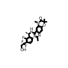 Cc1nc(N[C@H](C)c2cccc(C(F)(F)CO)c2F)c2cc3c(cc2n1)OC(C)(C)C(=O)N3C